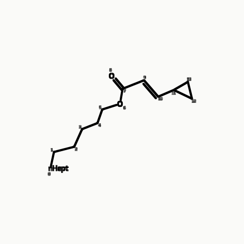 CCCCCCCCCCCCOC(=O)C=CC1CC1